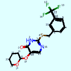 O=c1[nH]c(SCc2cccc(C(F)(F)F)c2)ncc1OC1CCCCO1